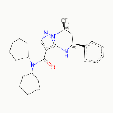 O=C(c1cnn2c1N[C@H](c1ccccc1)C[C@@H]2C(F)(F)F)N(C1CCCCC1)C1CCCCC1